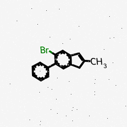 CC1=Cc2cc(Br)c(-c3ccccc3)cc2C1